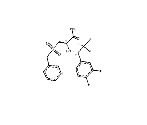 NC(=O)[C@H](CS(=O)(=O)Cc1cccnc1)N[C@@H](c1ccc(F)c(F)c1)C(F)(F)F